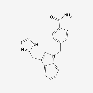 NC(=O)c1ccc(Cn2cc(Cc3ncc[nH]3)c3ccccc32)cc1